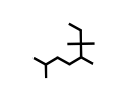 [CH2]C(C)CCC(C)C(C)(C)CC